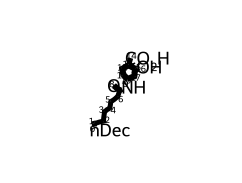 CCCCCCCCCCCCCCCCC(=O)Nc1ccc(C(=O)O)c(O)c1